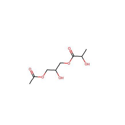 CC(=O)OCC(O)COC(=O)C(C)O